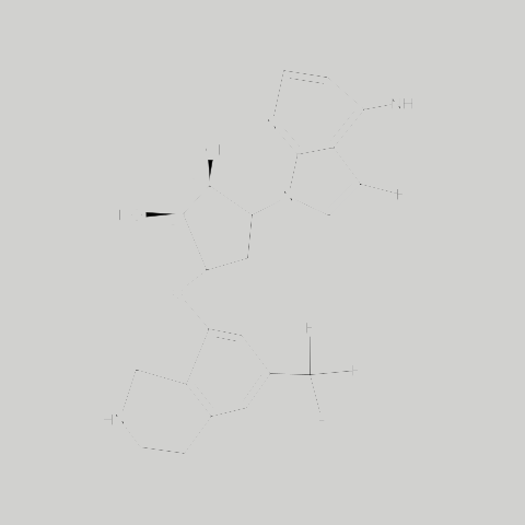 Nc1ccnc2c1c(F)cn2C1CC(Oc2cc(C(F)(F)F)cc3c2CNCC3)[C@@H](O)[C@H]1O